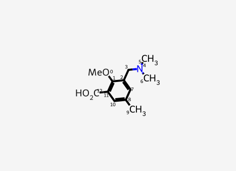 COc1c(CN(C)C)cc(C)cc1C(=O)O